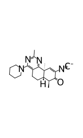 [C-]#[N+]C1=C[C@]2(C)c3nc(C)nc(N4CCCCC4)c3CC[C@H]2[C@H](C)C1=O